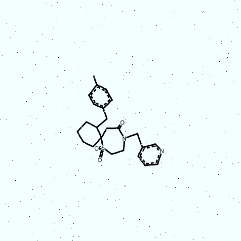 Cc1ccc(CC2CCCCC23CC(=O)N(Cc2cccnc2)CCS3(=O)=O)cc1